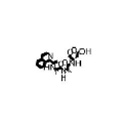 C=C(N[C@@H](C)C(=O)N[C@@H](C)C(=O)N[C@H](C=O)CC(=O)O)c1nccc2ccccc12